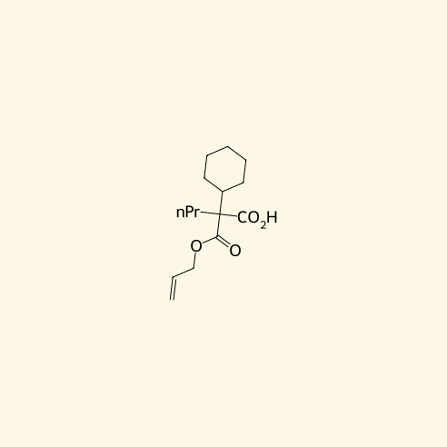 C=CCOC(=O)C(CCC)(C(=O)O)C1CCCCC1